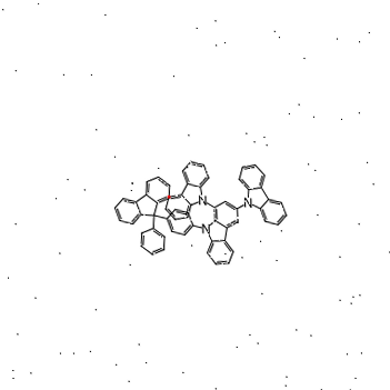 c1ccc(C2(c3ccc(-n4c5ccccc5c5cc(-n6c7ccccc7c7ccccc76)cc(-n6c7ccccc7c7ccccc76)c54)cc3)c3ccccc3-c3ccccc32)cc1